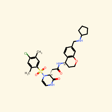 Cc1cc(S(=O)(=O)N2C=CNC(=O)[C@H]2CC(=O)N[C@@H]2CCOc3cc(CNC4CCCC4)ccc32)c(C)cc1Cl